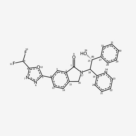 O=C1c2cc(-c3nnc(C(F)F)o3)ccc2CN1C(c1ccccn1)[C@H](O)c1ccccc1